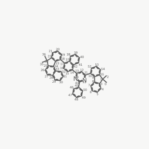 CC1(C)c2ccccc2-c2c(-c3cc(-c4ccc(-c5cccc6c5-c5c(ccc7ccccc57)C6(C)C)c5ccccc45)nc(-c4ccccc4)n3)cccc21